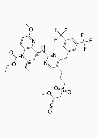 CCOC(=O)N1c2ccc(OC)nc2[C@@H](Nc2ncc(CCCS(=O)(=O)CC(=C=O)OC)c(Cc3cc(C(F)(F)F)cc(C(F)(F)F)c3)n2)C[C@H]1CC